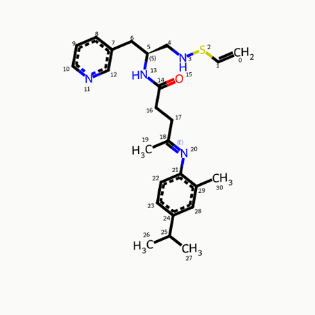 C=CSNC[C@H](Cc1cccnc1)NC(=O)CC/C(C)=N/c1ccc(C(C)C)cc1C